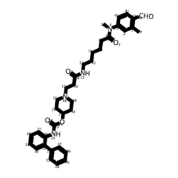 Cc1cc(N(C)C(=O)CCCCCNC(=O)CCN2CCC(OC(=O)Nc3ccccc3-c3ccccc3)CC2)ccc1C=O